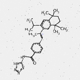 C/C(=C\c1ccc(C(=O)Nc2nnn[nH]2)cc1)c1cc2c(cc1C(C)C)C(C)(C)CCC2(C)C